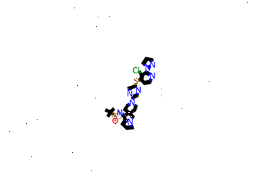 CC(C)(C)[S@@+]([O-])/N=C1\c2cccn2CC12CCN(c1cnc(Sc3ccnc(-n4cccn4)c3Cl)cn1)CC2